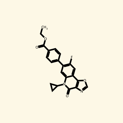 CCOC(=O)c1ccc(-c2cc3c(cc2F)c2ocnc2c(=O)n3C2CC2)cc1